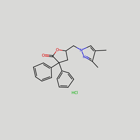 Cc1cn(CC2CC(c3ccccc3)(c3ccccc3)C(=O)O2)nc1C.Cl